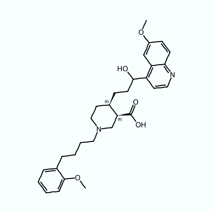 COc1ccc2nccc(C(O)CC[C@@H]3CCN(CCCCc4ccccc4OC)C[C@@H]3C(=O)O)c2c1